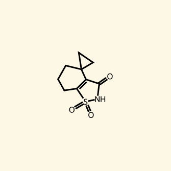 O=C1NS(=O)(=O)C2=C1C1(CCC2)CC1